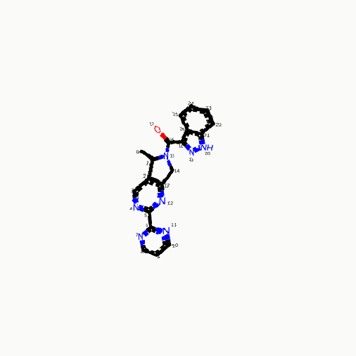 CC1c2cnc(-c3ncccn3)nc2CN1C(=O)c1n[nH]c2ccccc12